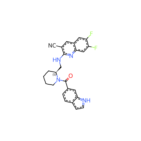 N#Cc1cc2cc(F)c(F)cc2nc1NC[C@@H]1CCCCN1C(=O)c1ccc2cc[nH]c2c1